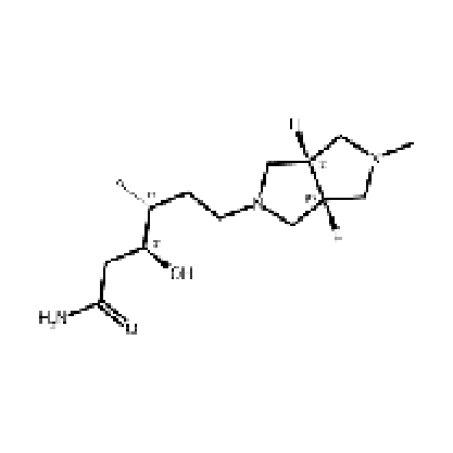 C[C@H](CCN1C[C@H]2CN(C)C[C@H]2C1)[C@@H](O)CC(N)=O